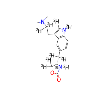 [2H]c1c(CC([2H])([2H])N(C)C)c2cc(C([2H])([2H])[C@@H]3N([2H])C(=O)OC3([2H])[2H])ccc2n1[2H]